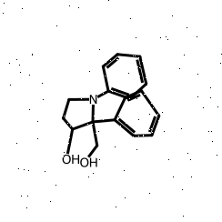 OCC1(c2ccccc2)C(O)CCN1c1ccccc1